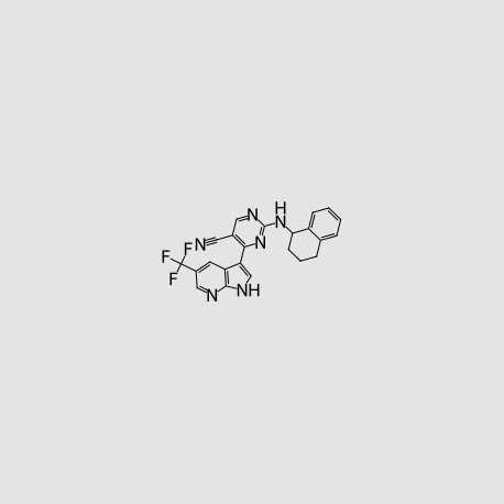 N#Cc1cnc(NC2CCCc3ccccc32)nc1-c1c[nH]c2ncc(C(F)(F)F)cc12